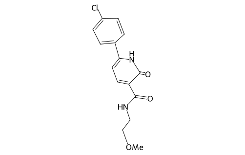 COCCNC(=O)c1ccc(-c2ccc(Cl)cc2)[nH]c1=O